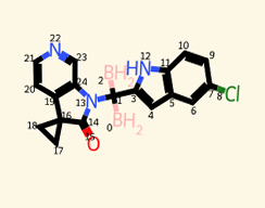 BC(B)(c1cc2cc(Cl)ccc2[nH]1)N1C(=O)C2(CC2)c2ccncc21